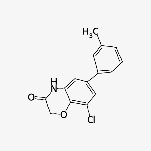 Cc1cccc(-c2cc(Cl)c3c(c2)NC(=O)CO3)c1